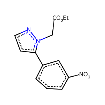 CCOC(=O)Cn1nccc1-c1cccc([N+](=O)[O-])c1